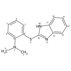 CN(C)c1ccccc1Sc1nc2ccccc2[nH]1